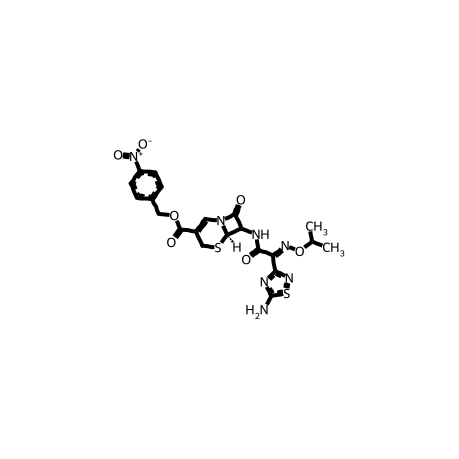 CC(C)ON=C(C(=O)NC1C(=O)N2C=C(C(=O)OCc3ccc([N+](=O)[O-])cc3)CS[C@H]12)c1nsc(N)n1